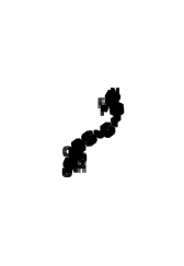 O=C1CCC(N2C(=O)c3ccc(N4CCN(CCC5CCN(CCCc6ccc7c8cnccc8n(C(F)F)c7c6)CC5)CC4)cc3C2=O)C(=O)N1